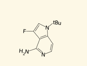 CC(C)(C)n1cc(F)c2c(N)nccc21